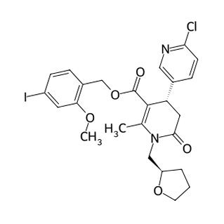 COc1cc(I)ccc1COC(=O)C1=C(C)N(C[C@H]2CCCO2)C(=O)C[C@H]1c1ccc(Cl)nc1